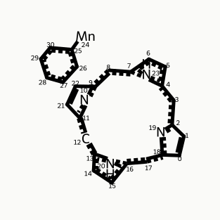 C1=Cc2cc3ccc(cc4nc(cc5ccc(cc1n2)[nH]5)C=C4)[nH]3.[Mn][c]1ccccc1